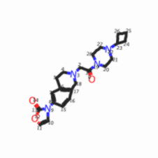 O=C(CN1CCc2cc(-n3ccoc3=O)ccc2C1)N1CCN(C2CCC2)CC1